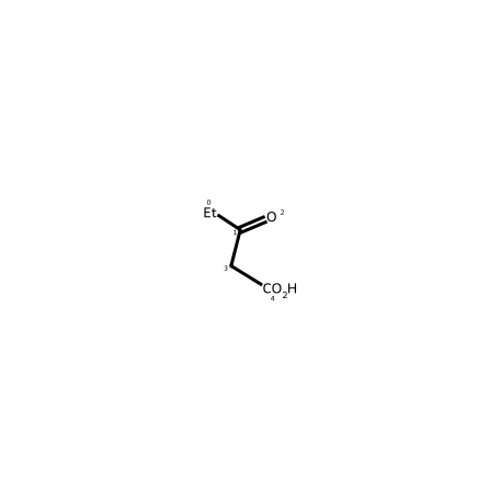 CCC(=O)CC(=O)O